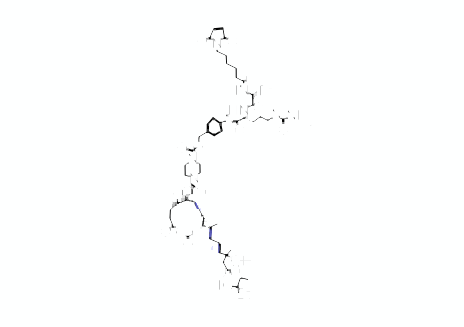 CC[C@H](O)C(C)O[C@@H](C)CC(C)(O)/C=C/C=C(\C)[C@H]1OC(=O)C[C@H](O)CC[C@@](C)(O)[C@@H](OC(=O)N2CCN(C(=O)OCc3ccc(NC(=O)[C@H](CCCNC(N)=O)NC(=O)[C@@H](NC(=O)CCCCCN4C(=O)C=CC4=O)C(C)C)cc3)CC2)/C=C/[C@@H]1C